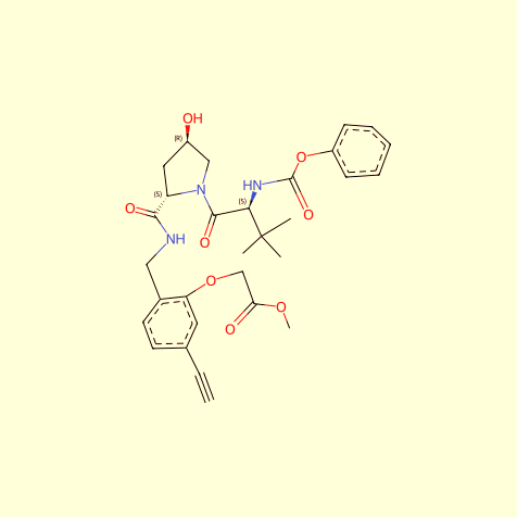 C#Cc1ccc(CNC(=O)[C@@H]2C[C@@H](O)CN2C(=O)[C@@H](NC(=O)Oc2ccccc2)C(C)(C)C)c(OCC(=O)OC)c1